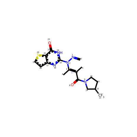 C=NN(/C(C)=C(\C)C(=O)N1CCC(C(F)(F)F)C1)c1nc2ccsc2c(=O)[nH]1